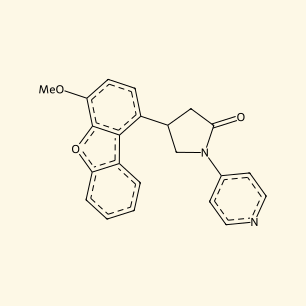 COc1ccc(C2CC(=O)N(c3ccncc3)C2)c2c1oc1ccccc12